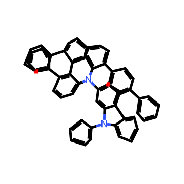 c1ccc(-c2ccc(-c3ccccc3N(c3ccc4c5ccccc5n(-c5ccccc5)c4c3)c3cccc(-c4ccccc4)c3-c3ccccc3-c3ccccc3)cc2)cc1